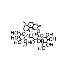 C=C1CC2CCC3[C@](C)(CC)CCC[C@@]3(C)[C@@H]2CC1OC1OC(COC2OC(CO)C(O)C(O)C2O)C(O)C(O)C1OC1OC(CO)C(O)C(O)C1O